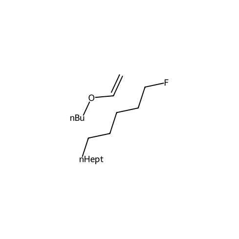 C=COCCCC.CCCCCCCCCCCCF